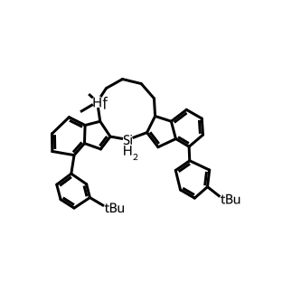 CC(C)(C)c1cccc(-c2cccc3c2C=C2[SiH2]C4=Cc5c(-c6cccc(C(C)(C)C)c6)cccc5[CH]4[Hf]([CH3])([CH3])[CH2]CCCC23)c1